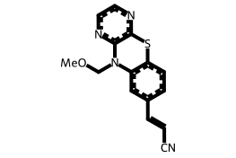 COCN1c2cc(/C=C/C#N)ccc2Sc2nccnc21